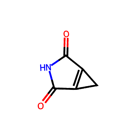 O=C1NC(=O)C2=C1C2